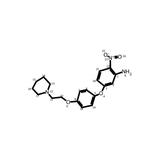 Nc1cc(Oc2ccc(OCCN3CCCCC3)cc2)ccc1[N+](=O)[O-]